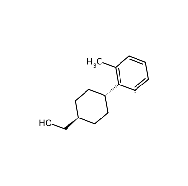 Cc1ccc[c]c1[C@H]1CC[C@H](CO)CC1